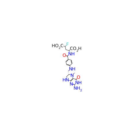 CN1c2c(nc(N)[nH]c2=O)NC[C@@H]1CNc1ccc(C(=O)N[C@@H](CC(F)C(=O)O)C(=O)O)cc1